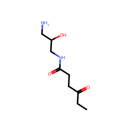 CCC(=O)CCC(=O)NCC(O)CN